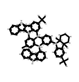 Cc1cc2c3c(c1)-n1c4c(cc(C(C)(C)C)cc4c4oc5ccccc5c41)B3c1ccc(N3c4ccc(C(C)(C)C)cc4C4(C)CCCCC34C)cc1N2c1cccc2sc3ccccc3c12